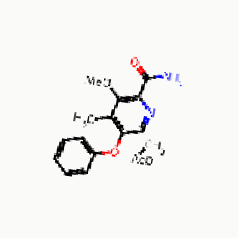 COC(C)=O.COc1c(C(N)=O)ncc(Oc2ccccc2)c1C